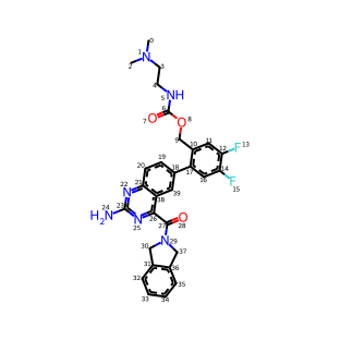 CN(C)CCNC(=O)OCc1cc(F)c(F)cc1-c1ccc2nc(N)nc(C(=O)N3Cc4ccccc4C3)c2c1